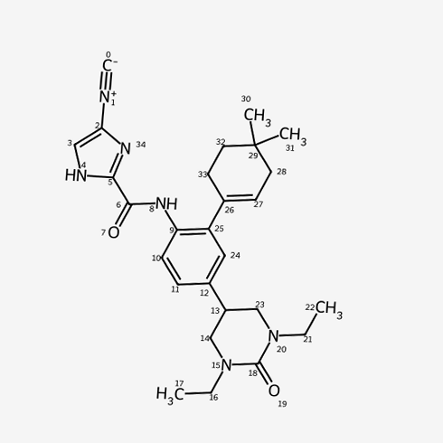 [C-]#[N+]c1c[nH]c(C(=O)Nc2ccc(C3CN(CC)C(=O)N(CC)C3)cc2C2=CCC(C)(C)CC2)n1